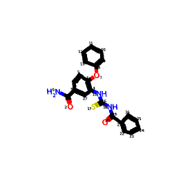 NC(=O)c1ccc(Oc2ccccc2)c(NC(=S)NC(=O)c2ccccc2)c1